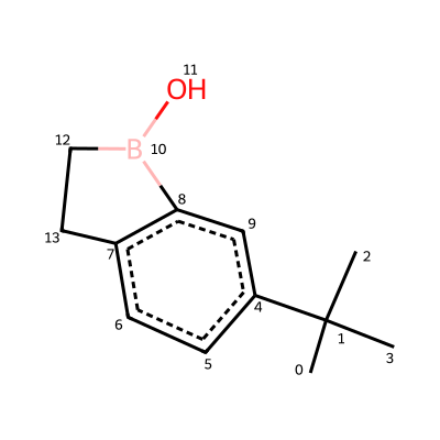 CC(C)(C)c1ccc2c(c1)B(O)CC2